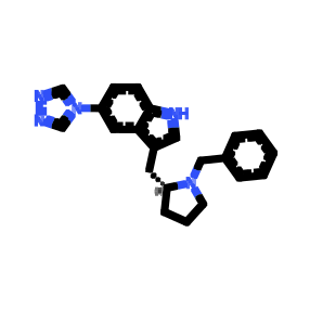 c1ccc(CN2CCC[C@@H]2Cc2c[nH]c3ccc(-n4cnnc4)cc23)cc1